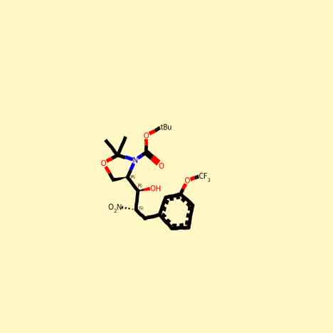 CC(C)(C)OC(=O)N1[C@@H]([C@@H](O)[C@H](Cc2cccc(OC(F)(F)F)c2)[N+](=O)[O-])COC1(C)C